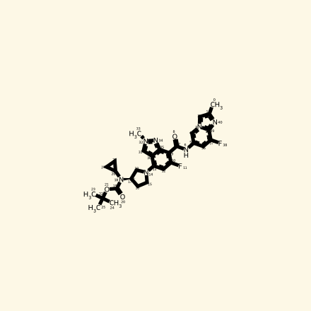 Cc1cn2cc(NC(=O)c3c(F)cc(N4CC[C@@H](N(C(=O)OC(C)(C)C)C5CC5)C4)c4cn(C)nc34)cc(F)c2n1